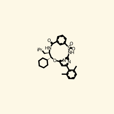 Cc1cccc(C)c1-c1cc2nc(n1)NS(=O)(=O)c1cccc(c1)C(=O)N[C@H](CC(C)C)[C@@H](C1CCCCC1)O2